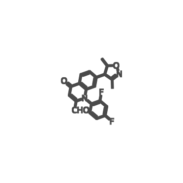 CC1=NOC(C)C1c1ccc2c(=O)cc(C=O)n(-c3ccc(F)cc3F)c2c1